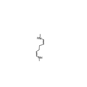 CN/C=C\CC/C=C\NC